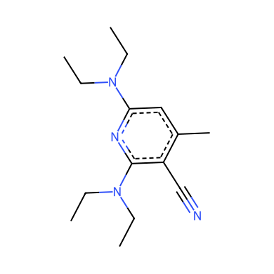 CCN(CC)c1cc(C)c(C#N)c(N(CC)CC)n1